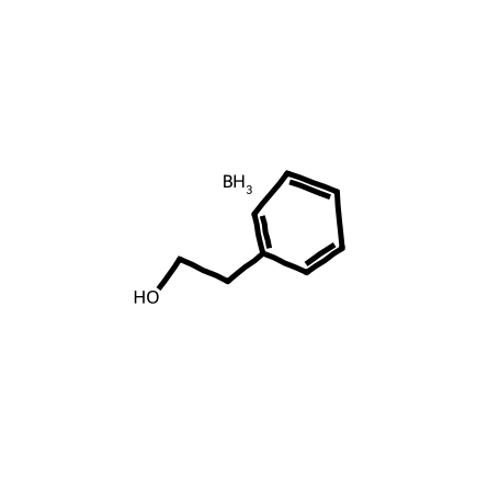 B.OCCc1ccccc1